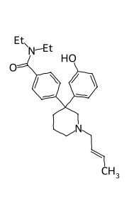 CC=CCN1CCCC(c2ccc(C(=O)N(CC)CC)cc2)(c2cccc(O)c2)C1